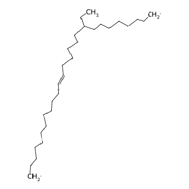 [CH2]CCCCCCCCCC/C=C/CCCCCC(CC)CCCCCCC[CH2]